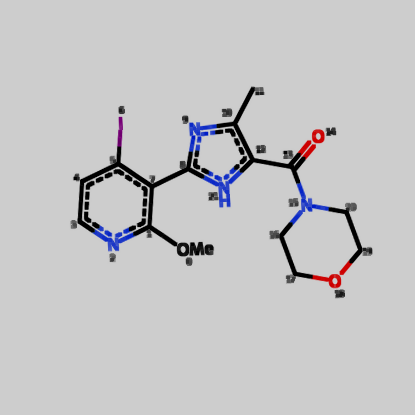 COc1nccc(I)c1-c1nc(C)c(C(=O)N2CCOCC2)[nH]1